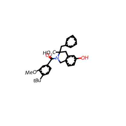 COc1cc(C(=O)N2Cc3ccc(O)cc3CC2(Cc2ccccc2)C(=O)O)ccc1C(C)(C)C